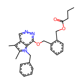 CCCC(=O)OCc1ccccc1COc1nncc2c(C)c(C)n(Cc3ccccc3)c12